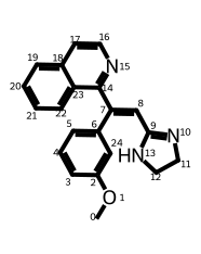 COc1cccc(C(=CC2=NCCN2)c2nccc3ccccc23)c1